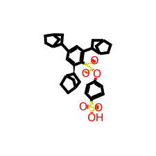 O=S(=O)(O)c1ccc(OS(=O)(=O)c2c(C3CC4CCC3C4)cc(C3CC4CCC3C4)cc2[C@H]2CC3CCC2C3)cc1